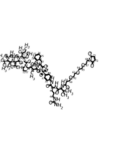 CC[C@H](C)[C@@H]([C@@H](CC(=O)N1CCC[C@H]1[C@H](OC)[C@@H](C)C(=O)N[C@@H](Cc1ccccc1)C(=O)NS(=O)(=O)c1ccc(NC(=O)[C@H](CCCNC(N)=O)NC(=O)[C@@H](NC(=O)CCOCCOCCOCCN2C(=O)C=CC2=O)C(C)C)cc1)OC)N(C)C(=O)[C@@H](NC(=O)[C@H](C(C)C)N(C)C)C(C)C